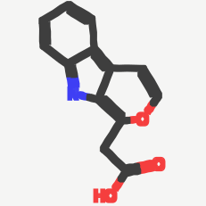 O=C(O)Cc1occc2c3ccccc3nc1-2